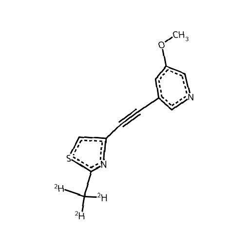 [2H]C([2H])([2H])c1nc(C#Cc2cncc(OC)c2)cs1